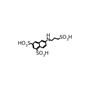 O=S(=O)(O)CCCNc1ccc2c(S(=O)(=O)O)cc(S(=O)(=O)O)cc2c1